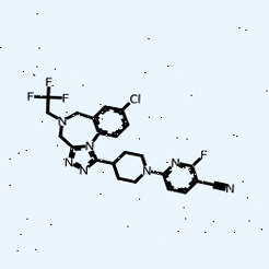 N#Cc1ccc(N2CCC(c3nnc4n3-c3ccc(Cl)cc3CN(CC(F)(F)F)C4)CC2)nc1F